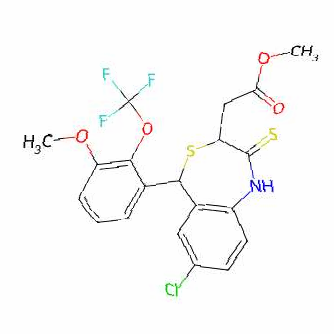 COC(=O)CC1SC(c2cccc(OC)c2OC(F)(F)F)c2cc(Cl)ccc2NC1=S